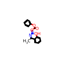 CC(N=NOC(=O)Oc1ccccc1)c1ccccc1O